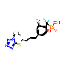 Cn1nnnc1SCCCCc1ccc(C(F)(F)P(=O)(O)O)c(Br)c1